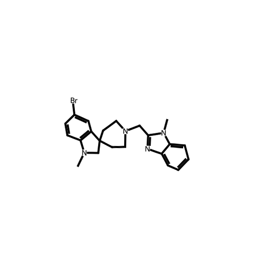 CN1CC2(CCN(Cc3nc4ccccc4n3C)CC2)c2cc(Br)ccc21